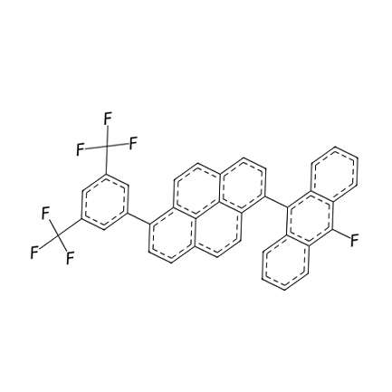 Fc1c2ccccc2c(-c2ccc3ccc4c(-c5cc(C(F)(F)F)cc(C(F)(F)F)c5)ccc5ccc2c3c54)c2ccccc12